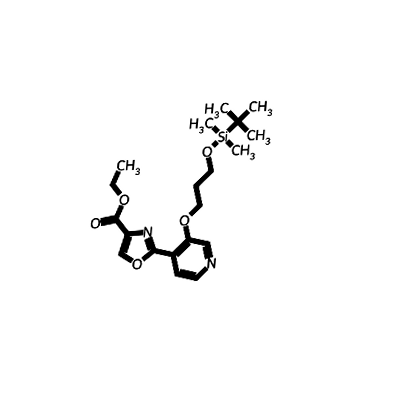 CCOC(=O)c1coc(-c2ccncc2OCCCO[Si](C)(C)C(C)(C)C)n1